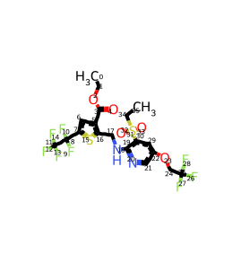 CCOC(=O)c1cc(C(F)(F)C(F)(F)F)sc1CNc1ncc(OCC(F)(F)F)cc1S(=O)(=O)CC